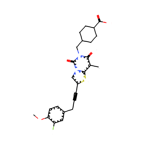 COc1ccc(CC#Cc2cn3c(=O)n(CC4CCC(C(=O)O)CC4)c(=O)c(C)c3s2)cc1F